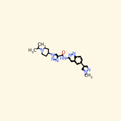 CC(C)N1CCC(n2cc(C(=O)Nc3cc4cc(-c5cnn(C)c5)ccc4nn3)nn2)CC1